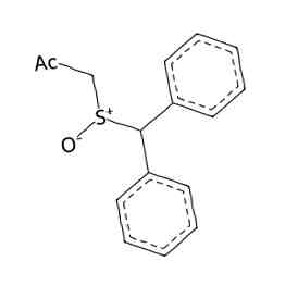 CC(=O)C[S+]([O-])C(c1ccccc1)c1ccccc1